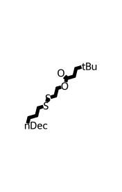 CCCCCCCCCCCCCSSCCOC(=O)CCC(C)(C)C